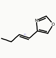 CC/C=C/c1cocn1